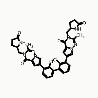 Cc1nn2cc(-c3cccc(-c4cccc(-c5cc6c(=O)n(CC7CCC(=O)N7)c(C)nn6c5)c4Cl)c3Cl)cc2c(=O)n1CC1CCC(=O)N1